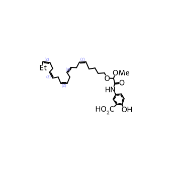 CC/C=C\C/C=C\C/C=C\C/C=C\C/C=C\CCCCOC(OC)C(=O)Nc1ccc(O)c(C(=O)O)c1